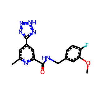 COc1cc(CNC(=O)c2cc(-c3nn[nH]n3)cc(C)n2)ccc1F